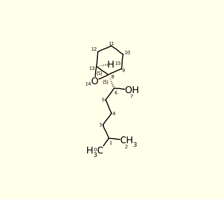 CC(C)CCCC(O)[C@@]12CCCC[C@@H]1O2